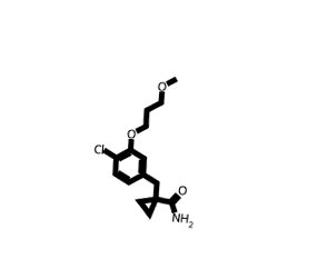 COCCCOc1cc(CC2(C(N)=O)CC2)ccc1Cl